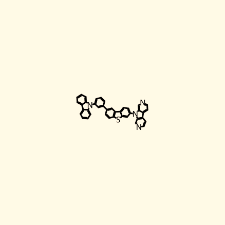 c1cc(-c2ccc3sc4cc(-n5c6cnccc6c6ccncc65)ccc4c3c2)cc(-n2c3ccccc3c3ccccc32)c1